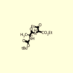 CCOC(=O)C(NC(=O)[C@H](C)NC(=O)OC(C)(C)C)C(=O)CC